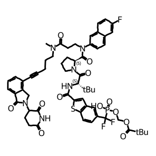 CN(CCCC#Cc1cccc2c1CN(C1CCC(=O)NC1=O)C2=O)C(=O)CCN(C(=O)[C@@H]1CCCN1C(=O)[C@@H](NC(=O)c1cc2cc(C(F)(F)P(=O)(O)OCOC(=O)C(C)(C)C)ccc2s1)C(C)(C)C)c1ccc2cc(F)ccc2c1